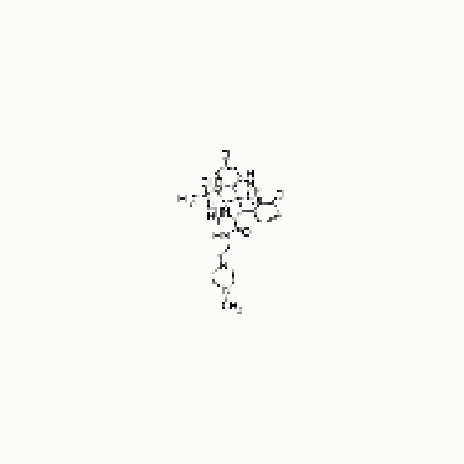 CN1CCN(CCNC(=O)C2NC(CC(C)(C)C)C3(C(=O)Nc4cc(Cl)ccc43)C2c2cccc(Cl)c2F)CC1